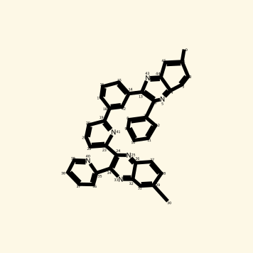 Cc1ccc2nc(-c3ccccc3)c(-c3cccc(-c4cccc(-c5nc6ccc(C)cc6nc5-c5ccccn5)n4)c3)nc2c1